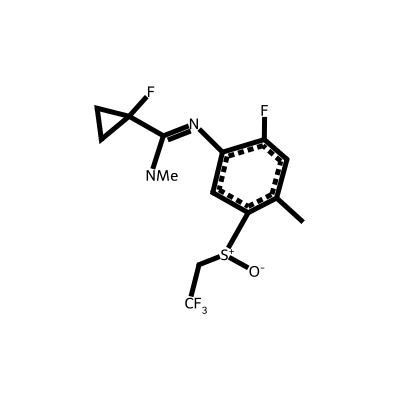 CN/C(=N\c1cc([S+]([O-])CC(F)(F)F)c(C)cc1F)C1(F)CC1